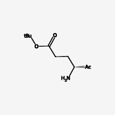 CC(=O)[C@H](N)CCC(=O)OC(C)(C)C